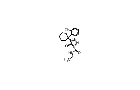 CCNC(=O)n1nnn(C2(c3ccccc3Cl)CCCCC2)c1=O